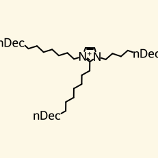 CCCCCCCCCCCCCCCCCc1n(CCCCCCCCCCCCCC)cc[n+]1CCCCCCCCCCCCCCCCC